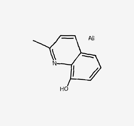 Cc1ccc2cccc(O)c2n1.[Al]